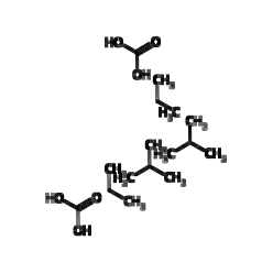 CC(C)C.CC(C)C.CCC.CCC.O=C(O)O.O=C(O)O